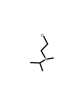 CC(C)N(C)CCCl